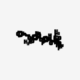 CCn1c(C(=O)Nc2ccc(Oc3ccnc4cc(OCCCN5CCOCC5)c(OC)cc34)c(F)c2)nn(OC(F)(F)F)c1=O